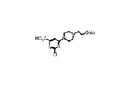 COCCN1CCN(c2cc(C(=O)O)nc(Cl)n2)CC1